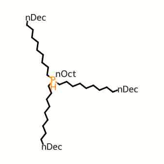 CCCCCCCCCCCCCCCCCCC[PH](CCCCCCCC)(CCCCCCCCCCCCCCCCCCC)CCCCCCCCCCCCCCCCCCC